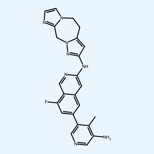 Cc1c(N)cncc1-c1cc(F)c2cnc(Nc3cc4n(n3)Cc3nccn3CC4)cc2c1